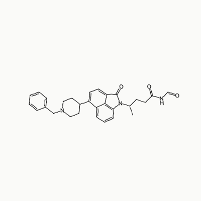 CC(CCC(=O)NC=O)N1C(=O)c2ccc(C3CCN(Cc4ccccc4)CC3)c3cccc1c23